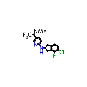 CNC(c1ccc(NC2Cc3ccc(Cl)c(F)c3C2)nc1)C(F)(F)F